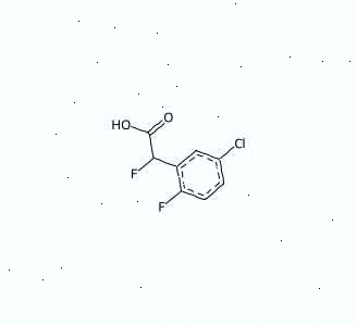 O=C(O)C(F)c1cc(Cl)ccc1F